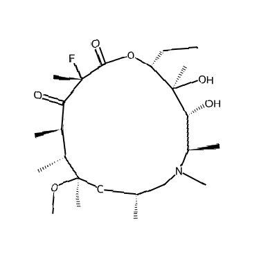 CC[C@H]1OC(=O)[C@@](C)(F)C(=O)[C@H](C)[C@@H](C)[C@](C)(OC)C[C@@H](C)CN(C)[C@H](C)[C@@H](O)[C@]1(C)O